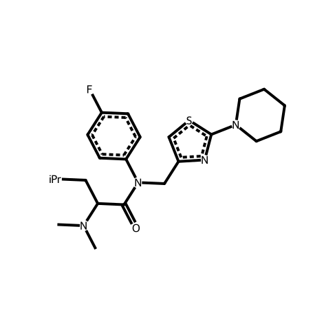 CC(C)CC(C(=O)N(Cc1csc(N2CCCCC2)n1)c1ccc(F)cc1)N(C)C